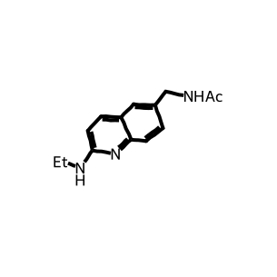 CCNc1ccc2cc(CNC(C)=O)ccc2n1